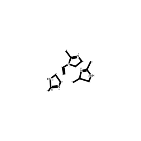 C=CN1CCN=C1C.CC1=NC(C)CN1.CC1=NCCN1